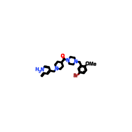 C=C/C=C(\C=C/N)CN1CCC(C(=O)N2CCN(Cc3cc(Br)ccc3OC)CC2)CC1